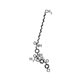 CCC=CCC=CCC=CCC=CCC=CCCCC(=O)NCC1CCC(NC(=O)C(C)(C)Oc2ccc(C(=O)c3ccc(Cl)cc3)cc2)CC1